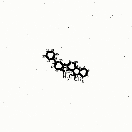 CC1(C)c2ccccc2-c2ccc3c([nH]c4ccc(-c5ccccc5)cc43)c21